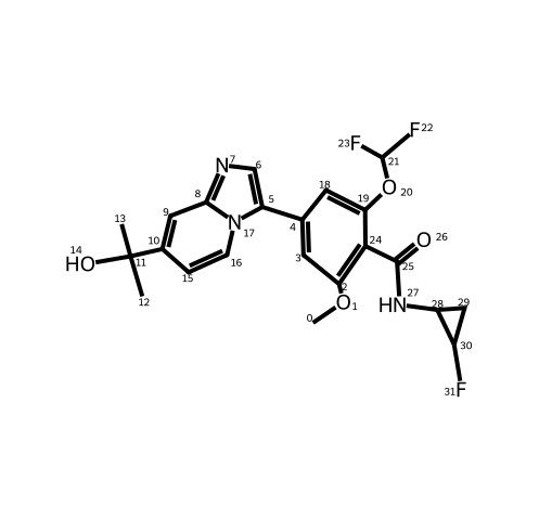 COc1cc(-c2cnc3cc(C(C)(C)O)ccn23)cc(OC(F)F)c1C(=O)NC1CC1F